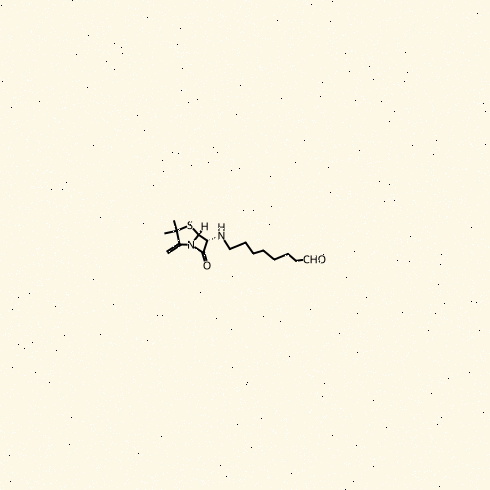 C=C1N2C(=O)[C@@H](NCCCCCCCC=O)[C@H]2SC1(C)C